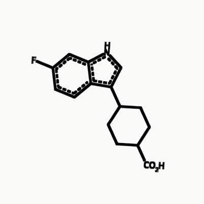 O=C(O)C1CCC(c2c[nH]c3cc(F)ccc23)CC1